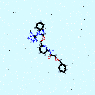 Cn1nnnc1-n1c(OCc2cccc(NC(=O)COCc3ccccc3)n2)nc2ccccc21